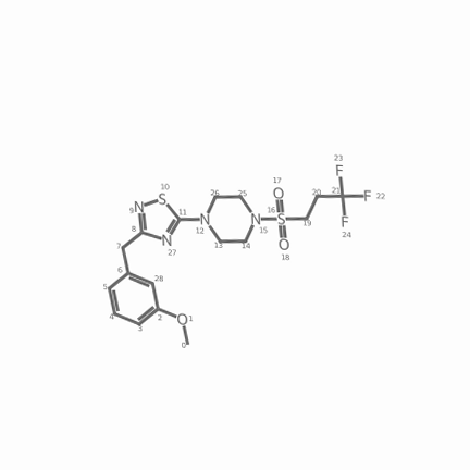 COc1cccc(Cc2nsc(N3CCN(S(=O)(=O)CCC(F)(F)F)CC3)n2)c1